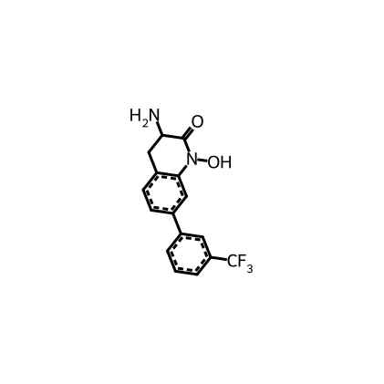 NC1Cc2ccc(-c3cccc(C(F)(F)F)c3)cc2N(O)C1=O